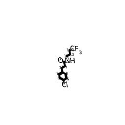 O=C([CH]Cc1ccc(Cl)cc1)NCCCC(F)(F)F